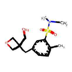 Cc1ccc(CC2(CO)COC2)cc1S(=O)(=O)N(C)C